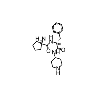 NC1(C(=O)N[C@H](Cc2ccccc2)C(=O)NC2CCNCC2)CCCC1